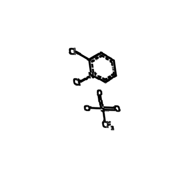 Clc1cccc[n+]1Cl.O=S(=O)([O-])C(F)(F)F